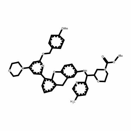 COc1ccc(COc2cc(N3CCOCC3)cc(-c3cccc4c3Oc3ccc(NC(c5ccc(C)cn5)C5CN(C(=O)OC(C)(C)C)CCO5)cc3C4)n2)cc1